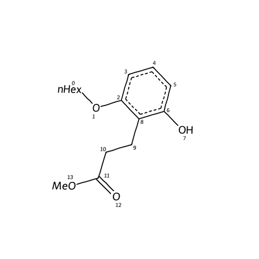 CCCCCCOc1cccc(O)c1CCC(=O)OC